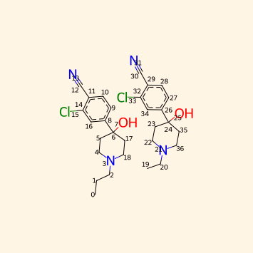 CCCN1CCC(O)(c2ccc(C#N)c(Cl)c2)CC1.CCN1CCC(O)(c2ccc(C#N)c(Cl)c2)CC1